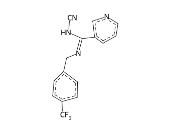 N#CN/C(=N\Cc1ccc(C(F)(F)F)cc1)c1cccnc1